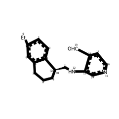 CCc1ccc2c(c1)CCC[C@@H]2CNc1cnccc1C=O